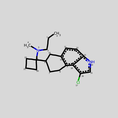 CCCN(C)C1(C2CCc3c(ccc4[nH]cc(Cl)c34)C2)CCC1